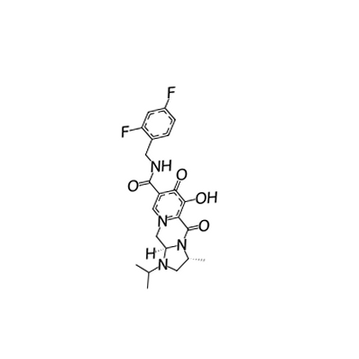 CC(C)N1C[C@@H](C)N2C(=O)c3c(O)c(=O)c(C(=O)NCc4ccc(F)cc4F)cn3C[C@H]12